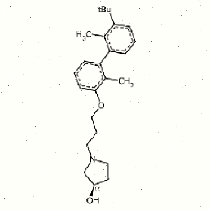 Cc1c(OCCCN2CC[C@@H](O)C2)cccc1-c1cccc(C(C)(C)C)c1C